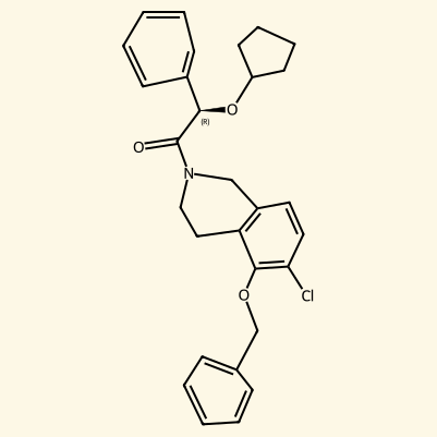 O=C([C@H](OC1CCCC1)c1ccccc1)N1CCc2c(ccc(Cl)c2OCc2ccccc2)C1